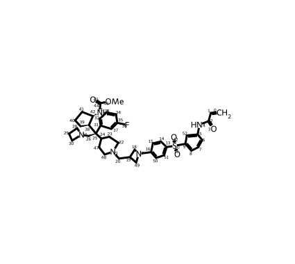 C=CC(=O)Nc1cccc(S(=O)(=O)c2ccc(N3CC(CN4CCC([C@@](CN5CCC5)(c5cccc(F)c5)[C@H]5CCC[C@@H]5NC(=O)OC)CC4)C3)cc2)c1